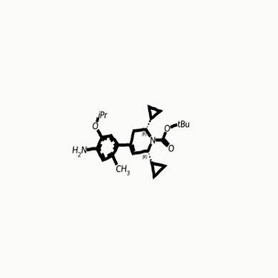 Cc1cc(N)c(OC(C)C)cc1C1=C[C@@H](C2CC2)N(C(=O)OC(C)(C)C)[C@@H](C2CC2)C1